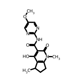 COc1cnc(NC(=O)c2c(O)c3c(n(C)c2=O)CCC3C)nc1